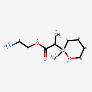 CC(C(=O)OCCN)[Si]1(C)CCCCO1